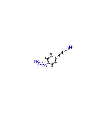 N#CC#Cc1ccc(N=[N+]=[N-])cc1